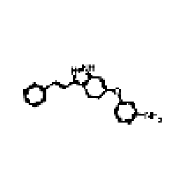 Nc1cccc(OC2=Cc3[nH]nc(C=Cc4ccccc4)c3CC2)c1